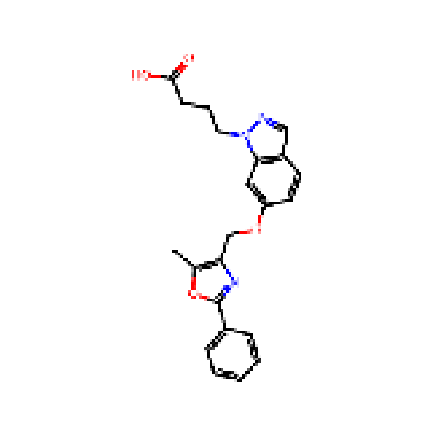 Cc1oc(-c2ccccc2)nc1COc1ccc2cnn(CCCC(=O)O)c2c1